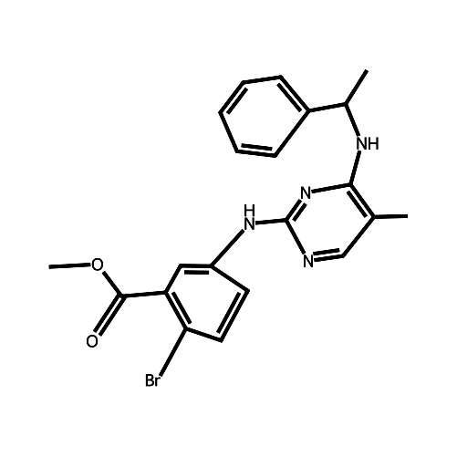 COC(=O)c1cc(Nc2ncc(C)c(NC(C)c3ccccc3)n2)ccc1Br